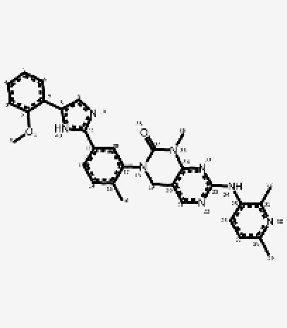 COc1ccccc1-c1cnc(-c2ccc(C)c(N3Cc4cnc(Nc5ccc(C)nc5C)nc4N(C)C3=O)c2)[nH]1